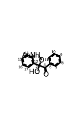 CC(=O)NOC(O)(C(=O)c1ccccc1)c1ccccc1